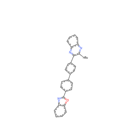 CCCCc1nc2ccccc2nc1-c1ccc(-c2ccc(-c3nc4ccccc4o3)cc2)cc1